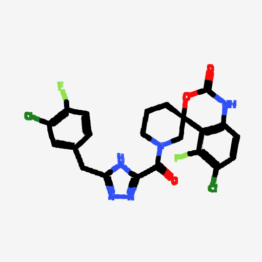 O=C1Nc2ccc(Cl)c(F)c2[C@@]2(CCCN(C(=O)c3nnc(Cc4ccc(F)c(Cl)c4)[nH]3)C2)O1